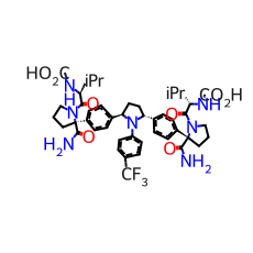 CC(C)[C@H](NC(=O)O)C(=O)N1CCC[C@@]1(C(N)=O)c1ccc([C@H]2CC[C@H](c3ccc([C@]4(C(N)=O)CCCN4C(=O)[C@@H](NC(=O)O)C(C)C)cc3)N2c2ccc(C(F)(F)F)cc2)cc1